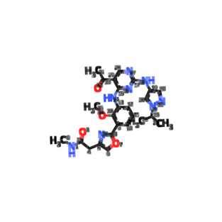 CNC(=O)Cc1coc(-c2cccc(Nc3nc(Nc4cnn(C(C)C)c4)ncc3C(C)=O)c2OC)n1